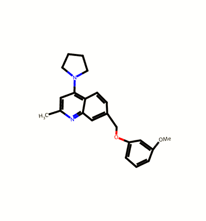 COc1cccc(OCc2ccc3c(N4CCCC4)cc(C)nc3c2)c1